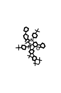 CC(C)(C)c1ccc(N2B3c4sc5ccc(-c6ccccc6)cc5c4N(c4ccc(C(C)(C)C)cc4)c4cc5c(oc6ccccc65)c(c43)-c3cc4c(cc32)C(C)(C)c2cc3c(cc2-4)C(C)(C)CCC3(C)C)cc1